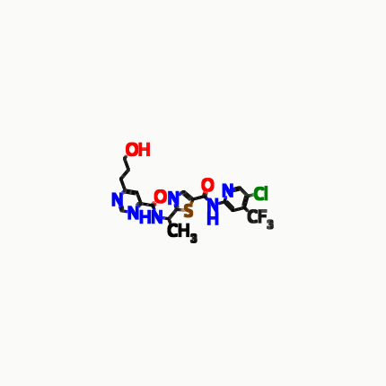 CC(NC(=O)c1cc(CCCO)ncn1)c1ncc(C(=O)Nc2cc(C(F)(F)F)c(Cl)cn2)s1